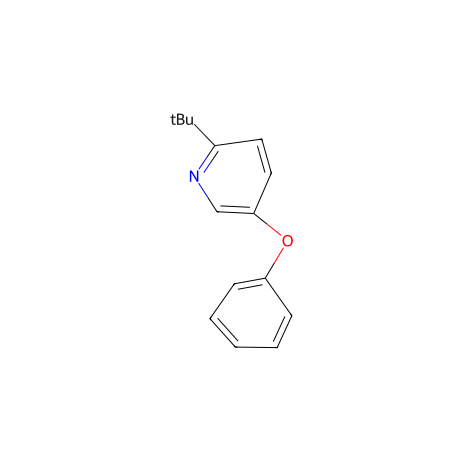 CC(C)(C)c1ccc(Oc2ccccc2)cn1